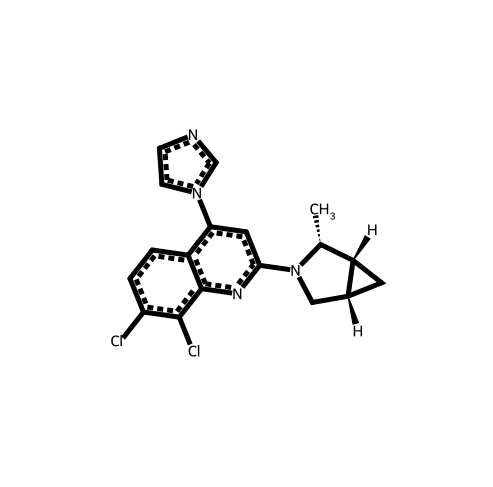 C[C@@H]1[C@@H]2C[C@@H]2CN1c1cc(-n2ccnc2)c2ccc(Cl)c(Cl)c2n1